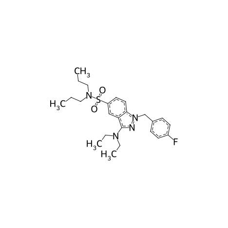 CCCN(CCC)S(=O)(=O)c1ccc2c(c1)c(N(CC)CC)nn2Cc1ccc(F)cc1